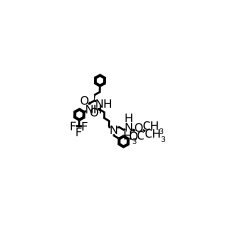 CC(C)(C)OC(=O)NCCN(CCCCC(=O)N[C@H](CCc1ccccc1)C(=O)Nc1cccc(C(F)(F)F)c1)Cc1ccccc1